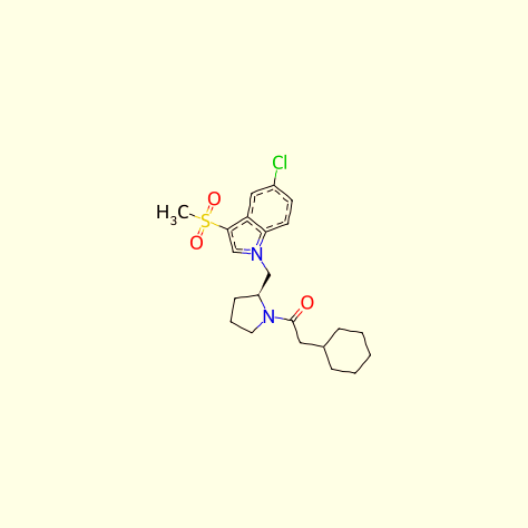 CS(=O)(=O)c1cn(C[C@@H]2CCCN2C(=O)CC2CCCCC2)c2ccc(Cl)cc12